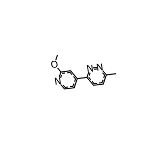 COc1cc(-c2ccc(C)nn2)ccn1